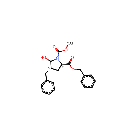 CC(C)(C)OC(=O)N1C(O)[C@@H](Cc2ccccc2)C[C@@H]1C(=O)OCc1ccccc1